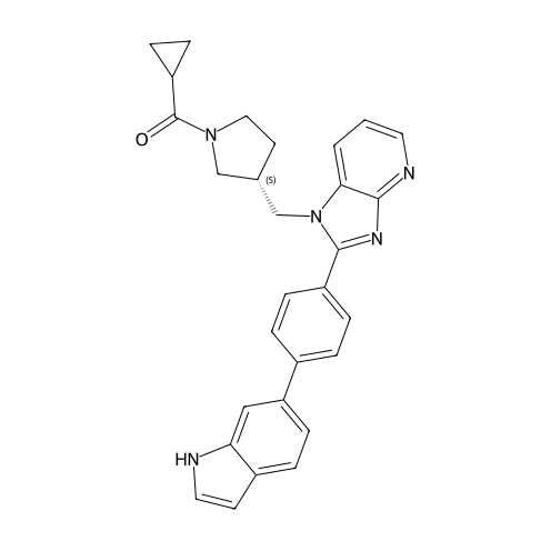 O=C(C1CC1)N1CC[C@H](Cn2c(-c3ccc(-c4ccc5cc[nH]c5c4)cc3)nc3ncccc32)C1